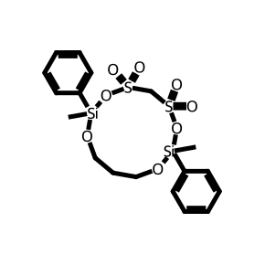 C[Si]1(c2ccccc2)OCCCO[Si](C)(c2ccccc2)OS(=O)(=O)CS(=O)(=O)O1